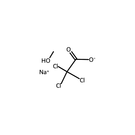 CO.O=C([O-])C(Cl)(Cl)Cl.[Na+]